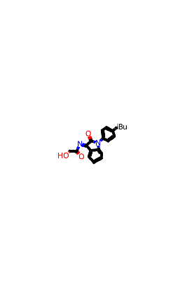 CCC(C)c1ccc(N2C(=O)/C(=N/C(=O)CO)c3ccccc32)cc1